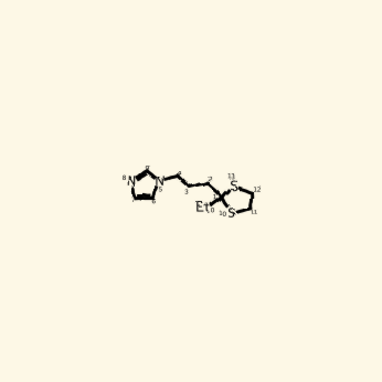 CCC1(CCCn2ccnc2)SCCS1